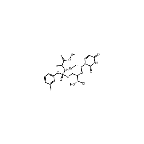 CC(C)OC(=O)[C@H](C)NP(=O)(OC[C@@H](O[C@H](CBr)n1ccc(=O)[nH]c1=O)[C@@H](O)Cl)Oc1cccc(F)c1